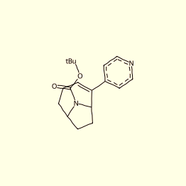 CC(C)(C)OC(=O)N1C2CCC=C(c3ccncc3)C1CC2